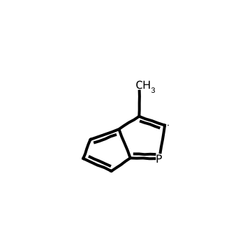 CC1=[C]P=C2C=CC=C12